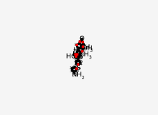 C[C@]12C=CC(=O)C=C1CC[C@@H]1C2[C@@H](O)C[C@@]2(C)C1C[C@H]1O[C@@H](c3ccc(Sc4cccc(N)c4)cc3)O[C@]12C(=O)CO